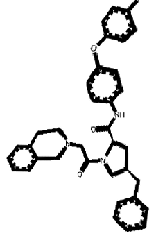 O=C(Nc1ccc(Oc2ccc(F)cc2)cc1)[C@H]1C[C@@H](Cc2ccccc2)CN1C(=O)CN1CCc2ccccc2C1